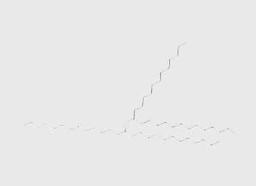 CCCCCCCCCCCCCC(CCCCCCCCCCCC)OC(CCCCCCCCCCCC)CCCCCCCCCCCCC